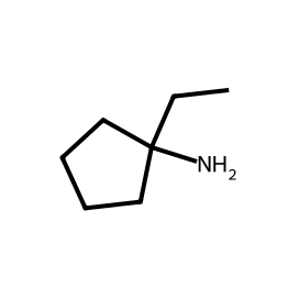 CCC1(N)CCCC1